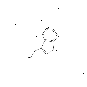 CC(=O)CC1=CCc2ccccc21